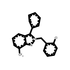 FC(F)(F)c1cccc2c(-c3ccccc3)n(Cc3ccccc3Cl)nc12